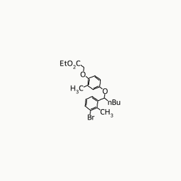 CCCCC(Oc1ccc(OCC(=O)OCC)c(C)c1)c1cccc(Br)c1C